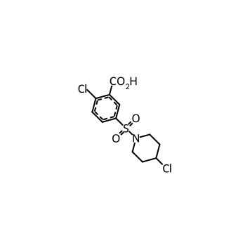 O=C(O)c1cc(S(=O)(=O)N2CCC(Cl)CC2)ccc1Cl